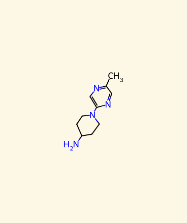 Cc1cnc(N2CCC(N)CC2)cn1